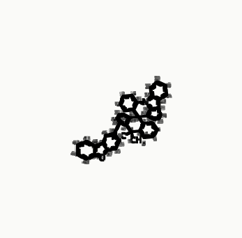 CC1(C)c2ccccc2C2(c3ccccc3-n3c4ccccc4c4cccc2c43)c2cccc(-c3ccc4oc5ccccc5c4c3)c21